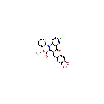 COC(=O)c1c(Cc2ccc3c(c2)OCO3)c(=O)c2cc(Cl)ccc2n1-c1ccccc1